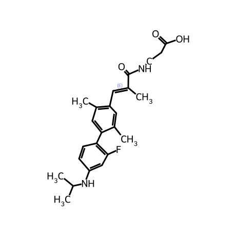 C/C(=C\c1cc(C)c(-c2ccc(NC(C)C)cc2F)cc1C)C(=O)NCCC(=O)O